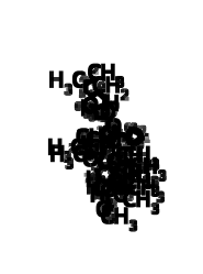 C=C(C)[C@H](C)C[C@H]1CC[C@@H]2O[C@@H](CCC(/C=C/[C@H](O[Si](C)(C)C(C)(C)C)[C@@H]3C[C@H]4CC[C@H](COC)O[C@@H]4[C@H](O[Si](C)(C)C(C)(C)C)[C@@H]3O[Si](C)(C)C(C)(C)C)OC(=O)c3ccccc3)C[C@]2(CI)O1